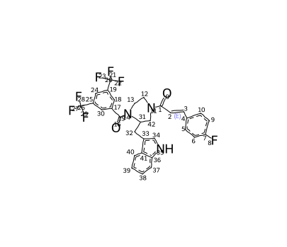 O=C(/C=C/c1ccc(F)cc1)N1CCN(C(=O)c2cc(C(F)(F)F)cc(C(F)(F)F)c2)C(Cc2c[nH]c3ccccc23)C1